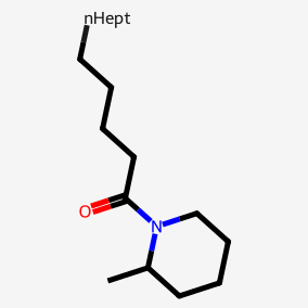 CCCCCCCCCCCC(=O)N1CCCCC1C